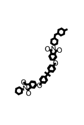 CC1CCC(CC2CCC(N3C(=O)c4ccc(Oc5ccc(C(C)(C)c6ccc(Oc7ccc8c(c7)C(=O)N(C7CCCCC7)C8=O)cc6)cc5)cc4C3=O)CC2)CC1